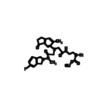 CCN(CCNC(=O)CN(CC(=O)N(C)N1Cc2ccc(F)cc2C1)c1cc2c(cc1C)CCC2=O)C(=O)OC(C)(C)C